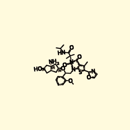 COc1ccccc1C(Cn1c(=O)n(C(C)(C)C(=O)NC(C)C)c(=O)c2c(C)c(-c3ncco3)sc21)O[C@H]1CC2C[C@@H](O)C[C@@]2(N)C1